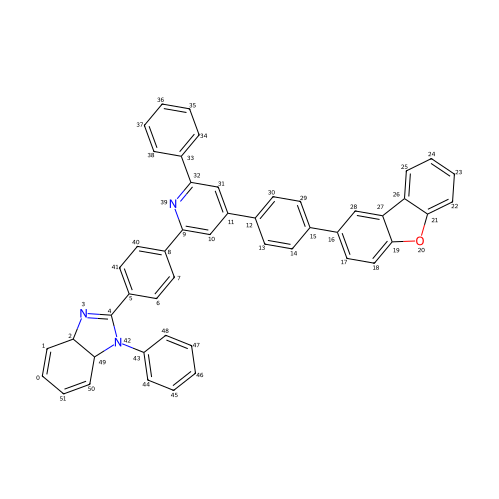 C1=CC2N=C(c3ccc(-c4cc(-c5ccc(-c6ccc7oc8ccccc8c7c6)cc5)cc(-c5ccccc5)n4)cc3)N(c3ccccc3)C2C=C1